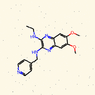 CCNc1nc2cc(OC)c(OC)cc2nc1NCc1ccncc1